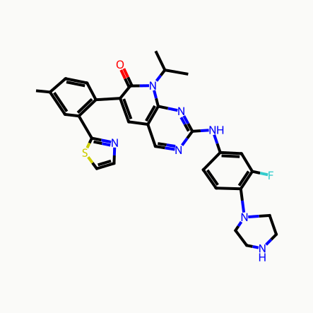 Cc1ccc(-c2cc3cnc(Nc4ccc(N5CCNCC5)c(F)c4)nc3n(C(C)C)c2=O)c(-c2nccs2)c1